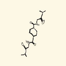 CC(C)C(=O)CNC(=O)C1CCC(C(=O)NCC(=O)C(C)C)CC1